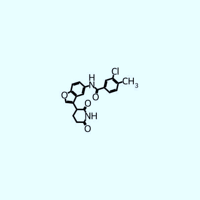 Cc1ccc(C(=O)Nc2ccc3occ(C4CCC(=O)NC4=O)c3c2)cc1Cl